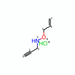 C#CCNOCC=C.Cl